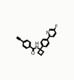 C#Cc1ccc(C(=O)NC2(c3ccc(-c4ccc(F)cn4)cc3)CCC2)cc1